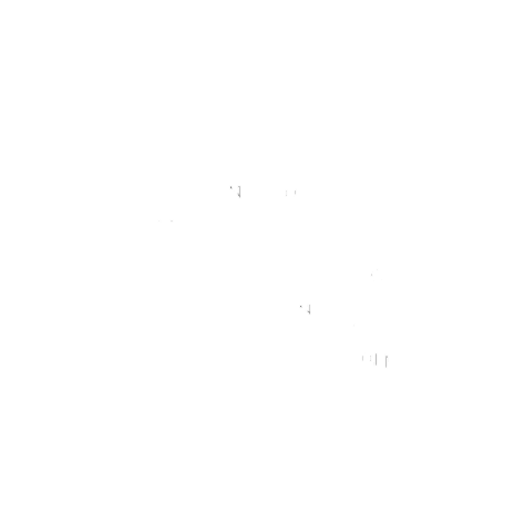 CON(C)C(=O)C1CN(C(=O)O)CCC1C(C)C